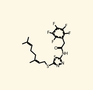 CC(C)=CCCC(C)=CCSc1nnc(NC(=O)Cc2c(F)c(F)c(F)c(F)c2F)s1